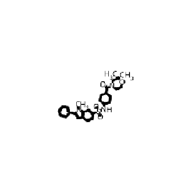 Cn1c(-c2ccccc2)cc2ccc(S(=O)(=O)NC3CCC(C(=O)N4CCOC(C)(C)C4)CC3)cc21